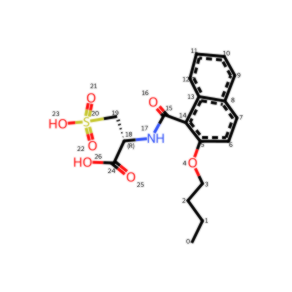 CCCCOc1ccc2ccccc2c1C(=O)N[C@@H](CS(=O)(=O)O)C(=O)O